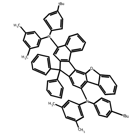 Cc1cc(C)cc(N(c2ccc(C(C)(C)C)cc2)c2cc3c(c4ccccc24)-c2c(cc(N(c4ccc(C(C)(C)C)cc4)c4cc(C)cc(C)c4)c4c2oc2ccccc24)C3(c2ccccc2)c2ccccc2)c1